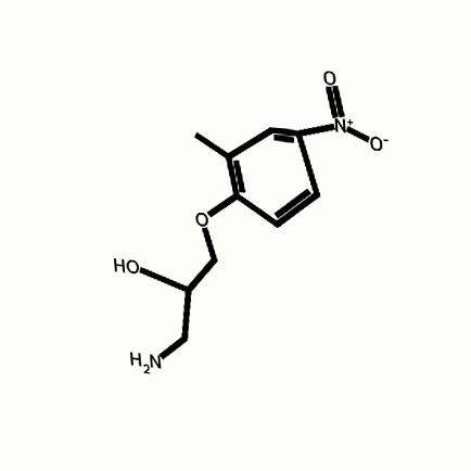 Cc1cc([N+](=O)[O-])ccc1OCC(O)CN